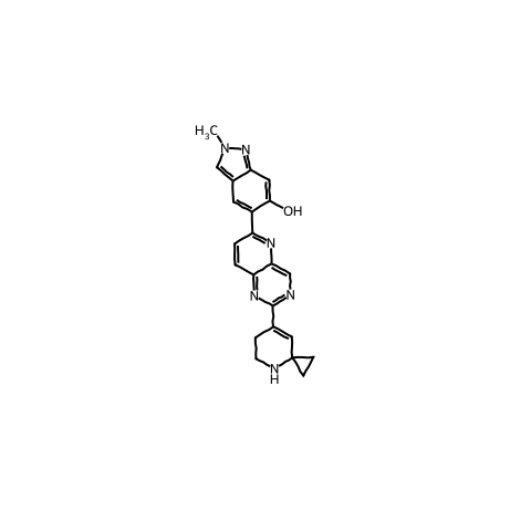 Cn1cc2cc(-c3ccc4nc(C5=CC6(CC6)NCC5)ncc4n3)c(O)cc2n1